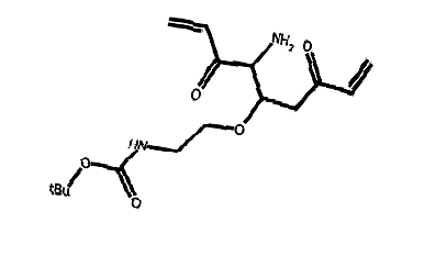 C=CC(=O)CC(OCCNC(=O)OC(C)(C)C)C(N)C(=O)C=C